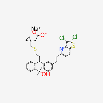 CC(C)(O)c1ccccc1C(CCSCC1(CC(=O)[O-])CC1)c1cccc(/C=C/c2ccc3sc(Cl)c(Cl)c3n2)c1.[Na+]